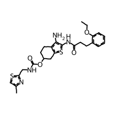 CCOc1ccccc1CCC(=O)Nc1sc2c(c1N)CCC(OC(=O)NCc1nc(C)cs1)C2